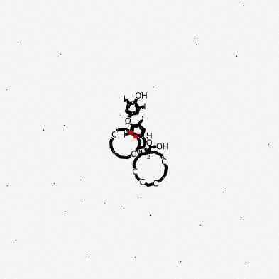 NC1(C(Cc2cc(I)c(Oc3cc(I)c(O)c(I)c3)c(I)c2)C2(C(O)O)CCCCCCCCCCCCCC2)CCCCCCCCCCCC1